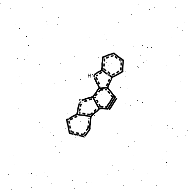 c1c2c3ccccc3[nH]c2c2sc3ccccc3c2c#1